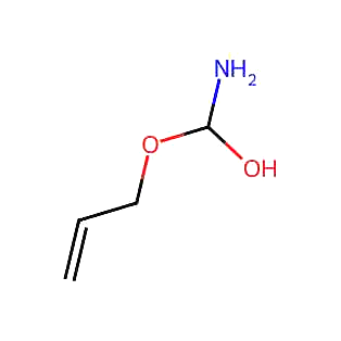 C=CCOC(N)O